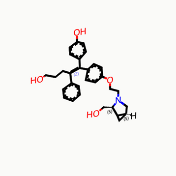 OCCC/C(=C(\c1ccc(O)cc1)c1ccc(OCCN2C[C@H]3CC3[C@H]2CO)cc1)c1ccccc1